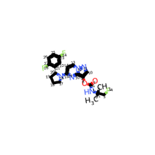 CC(C)(CF)NC(=O)Oc1cnn2ccc(N3CCC[C@@H]3c3cc(F)ccc3F)nc12